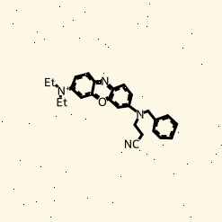 CC[N+](CC)=c1ccc2nc3ccc(N(CCC#N)Cc4ccccc4)cc3oc-2c1